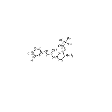 NC1CCN(CC(O)COc2ccc(Cl)c(F)c2)CC1OC(=O)C(F)(F)F